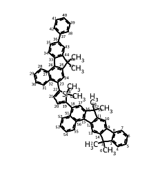 CC1(C)c2ccccc2-c2cc3c(cc21)-c1c(cc(C2=CC=C(c4cc5c(c6ccccc46)-c4ccc(-c6ccccc6)cc4C5(C)C)[Si]2(C)C)c2ccccc12)C3(C)C